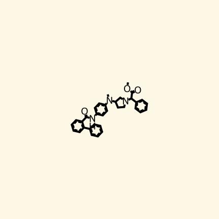 COC(=O)C(c1ccccc1)N1CCC(N(C)c2ccc(NC(=O)c3ccccc3-c3ccccc3)cc2)C1